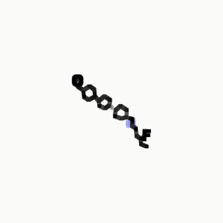 CCC(F)CC/C=C/[C@H]1CC[C@H](C2CCC(C3CCC(COC)CC3)CC2)CC1